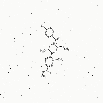 CC[C@H]1CN(c2ccc(C(=O)OC)nc2C)[C@H](C)CN1C(=O)c1ccc(Cl)cc1